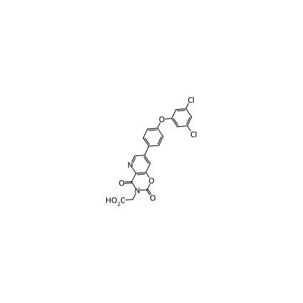 O=C(O)Cn1c(=O)oc2cc(-c3ccc(Oc4cc(Cl)cc(Cl)c4)cc3)cnc2c1=O